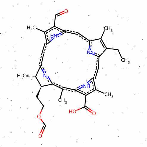 CCC1=C(C)c2cc3[nH]c(cc4nc(c(C)c5[nH]c(cc1n2)c(C)c5C(=O)O)[C@@H](CCOC=O)[C@@H]4C)c(C)c3C=O